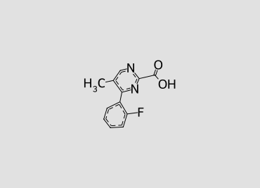 Cc1cnc(C(=O)O)nc1-c1ccccc1F